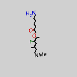 CNCC/C(C)=C/C(F)=C(\C)OCC(=O)CCCCCN